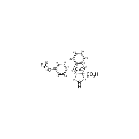 O=C(O)C12CNCC1C1(c3ccc(OC(F)(F)F)cc3)CCC2c2ccccc21